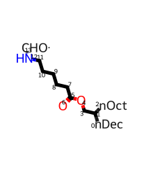 CCCCCCCCCCC(CCCCCCCC)COC(=O)CCCCCN[C]=O